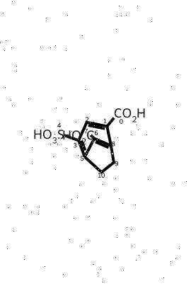 O=C(O)c1cc(S(=O)(=O)O)c2c(C(=O)O)c1CC2